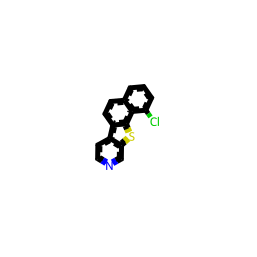 Clc1cccc2ccc3c4ccncc4sc3c12